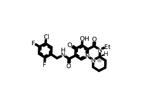 CCN1C(=O)c2c(O)c(=O)c(C(=O)NCc3cc(Cl)c(F)cc3F)cn2N2CCCC[C@@H]12